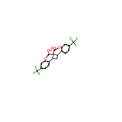 O=C(O)C1(C(=O)O)C(c2ccc(C(F)(F)F)cc2)CC1c1ccc(C(F)(F)F)cc1